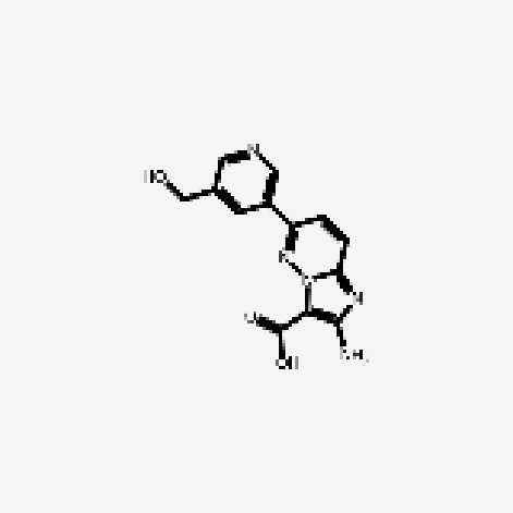 Nc1nc2ccc(-c3cncc(CO)c3)nn2c1C(=O)O